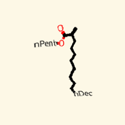 C=C(CCCCCCCCCCCCCCCCCC)C(=O)OCCCCC